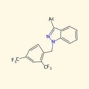 CC(=O)c1nn(Cc2ccc(C(F)(F)F)cc2C(F)(F)F)c2ccccc12